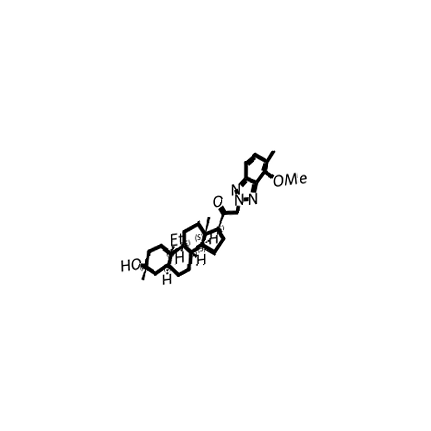 CC[C@]12CC[C@@](C)(O)C[C@@H]1CC[C@H]1[C@@H]3CC[C@H](C(=O)Cn4nc5ccc(C)c(OC)c5n4)[C@@]3(C)CC[C@@H]12